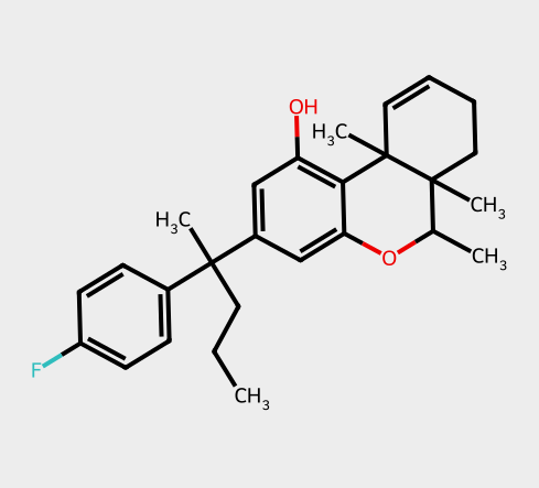 CCCC(C)(c1ccc(F)cc1)c1cc(O)c2c(c1)OC(C)C1(C)CCC=CC21C